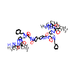 CN[C@@H](C)C(=O)N[C@H](C(=O)N1CCC[C@H]1CN(CCc1ccccc1)C(=O)CNC(=O)c1ccc(-c2ccc(C(=O)NCC(=O)N(CCc3ccccc3)C[C@@H]3CCCN3C(=O)[C@@H](NC(=O)[C@H](C)N)C(C)(C)C)cc2)cc1)C(C)(C)C